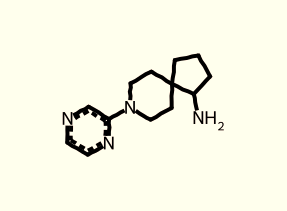 NC1CCCC12CCN(c1cnccn1)CC2